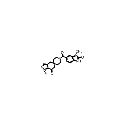 CC(C)n1ncc2c1C(=O)CC1(CCN(C(=O)c3ccc4[nH]c(=O)n(C)c4c3)CC1)C2